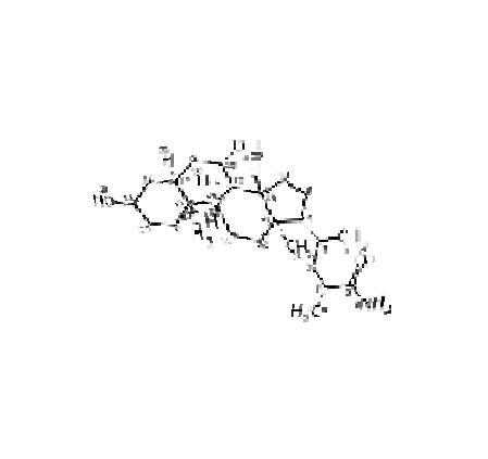 CC(C[C@@H](C)C(N)=O)[C@H]1CC[C@H]2[C@@H]3[C@@H](O)C[C@@H]4C[C@H](O)CC[C@]4(C)[C@H]3CC[C@]12C